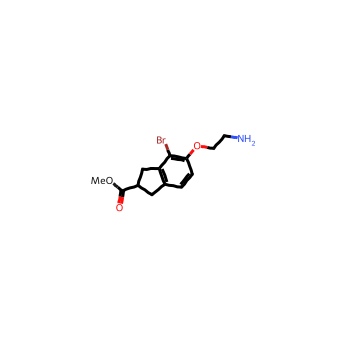 COC(=O)C1Cc2ccc(OCCN)c(Br)c2C1